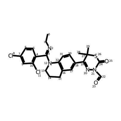 CCN=C(c1ccc(Cl)cc1Cl)N1CCCc2cc(C3=NN(C=O)C(=O)SC3(C)C)ccc21